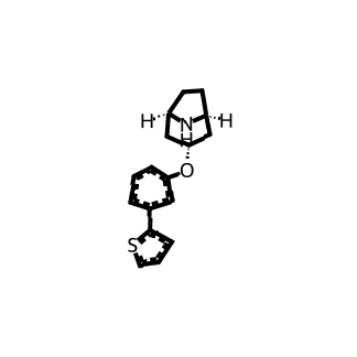 c1cc(O[C@@H]2C[C@H]3CC[C@@H](C2)N3)cc(-c2cccs2)c1